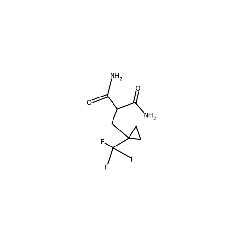 NC(=O)C(CC1(C(F)(F)F)CC1)C(N)=O